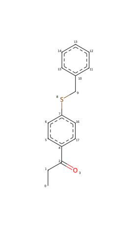 CCC(=O)c1ccc(SCc2ccccc2)cc1